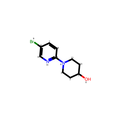 OC1CCN(c2ccc(Br)cn2)CC1